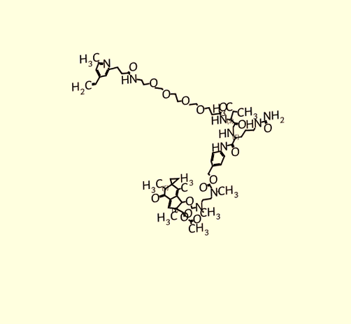 C=Cc1cc(C)nc(CCC(=O)NCCOCCOCCOCCOCCC(=O)N[C@H](C(=O)N[C@@H](CCCNC(N)=O)C(=O)Nc2ccc(COC(=O)N(C)CCN(C)C(=O)OC3C4=C(C)C5(CC5)[C@H](C)C(=O)C4=C[C@@]3(C)COC(C)=O)cc2)C(C)C)c1